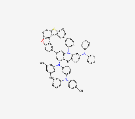 CC(C)(C)c1cc(N2c3cc(N(c4ccccc4)c4ccc(C#N)cc4)ccc3B3c4ccc(N(c5ccccc5)c5ccccc5)cc4N(c4ccccc4)c4cc(-c5ccc6oc7ccc8sc9ccccc9c8c7c6c5)cc2c43)cc(C(C)(C)C)c1